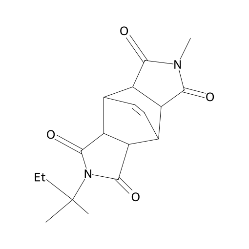 CCC(C)(C)N1C(=O)C2C3C=CC(C4C(=O)N(C)C(=O)C34)C2C1=O